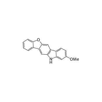 COc1ccc2c(c1)[nH]c1cc3c(cc12)oc1ccccc13